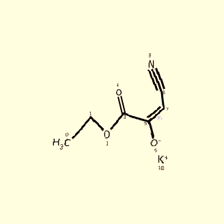 CCOC(=O)/C([O-])=C\C#N.[K+]